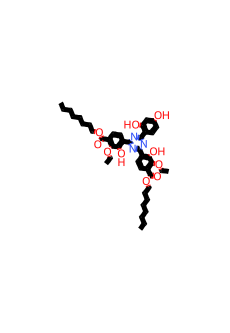 CCCCCCCCOC(=O)c1ccc(-c2nc(-c3ccc(O)cc3O)nc(-c3ccc(C(=O)OCCCCCCCC)c(OCC)c3O)n2)c(O)c1OCC